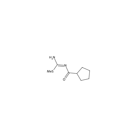 CS/C(N)=N\C(=O)C1CCCC1